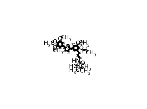 CCCOc1c(C/C=C/NC(=O)N(O)C(C)(C)C)cc(C2CCC(c3cc(OC)c(OC)c(OC)c3)O2)cc1OC